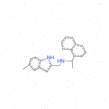 Cc1ccc2[nH]c(CNC(C)c3cccc4ccccc34)cc2c1